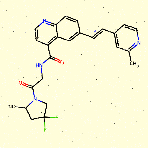 Cc1cc(/C=C/c2ccc3nccc(C(=O)NCC(=O)N4CC(F)(F)CC4C#N)c3c2)ccn1